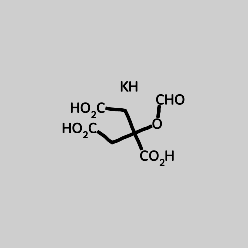 O=COC(CC(=O)O)(CC(=O)O)C(=O)O.[KH]